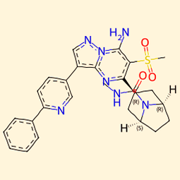 CNC(=O)N1[C@@H]2CC[C@H]1C[C@@H](c1nc3c(-c4ccc(-c5ccccc5)nc4)cnn3c(N)c1S(C)(=O)=O)C2